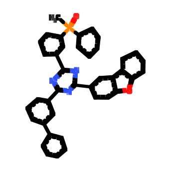 CP(=O)(c1ccccc1)c1cccc(-c2nc(-c3cccc(-c4ccccc4)c3)nc(-c3ccc4oc5ccccc5c4c3)n2)c1